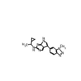 CC(Nc1ncc2c(-c3ccc4nnn(C)c4c3)c[nH]c2n1)C1CC1